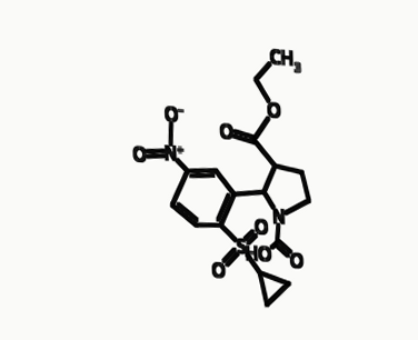 CCOC(=O)C1CCN(C(=O)O)C1c1cc([N+](=O)[O-])ccc1S(=O)(=O)C1CC1